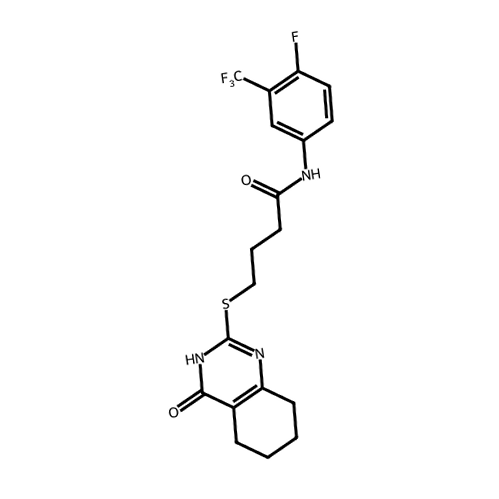 O=C(CCCSc1nc2c(c(=O)[nH]1)CCCC2)Nc1ccc(F)c(C(F)(F)F)c1